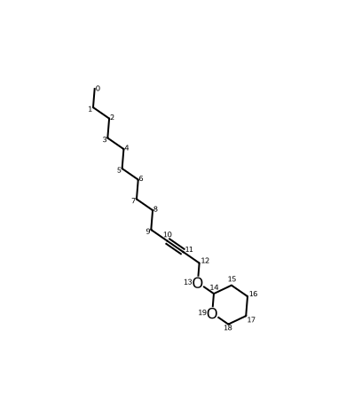 CCCCCCCCCCC#CCOC1CCCCO1